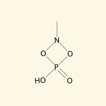 CN1OP(=O)(O)O1